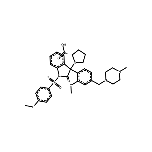 COc1ccc(S(=O)(=O)N2C(=O)C(c3ccc(CN4CCN(C)CC4)cc3OC)(N3CCC[C@H]3C(=O)O)c3ccccc32)cc1